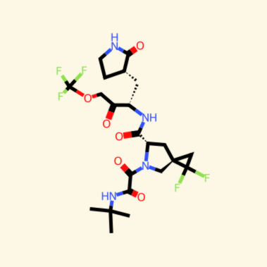 CC(C)(C)NC(=O)C(=O)N1C[C@@]2(C[C@H]1C(=O)N[C@@H](C[C@@H]1CCNC1=O)C(=O)COC(F)(F)F)CC2(F)F